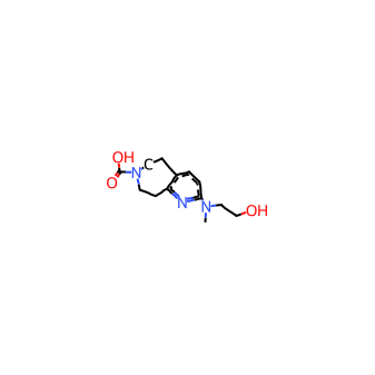 CN(CCO)c1ccc2c(n1)CCN(C(=O)O)CC2